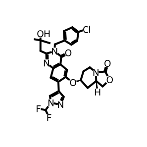 CC(C)(O)Cc1nc2cc(-c3cnn(C(F)F)c3)c(O[C@H]3CCN4C(=O)OC[C@@H]4C3)cc2c(=O)n1Cc1ccc(Cl)cc1